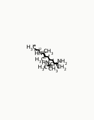 C=C(N)CCC(C/C(C)=C(\C)NCCC)NC(C)(C)C